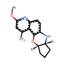 CC(C)Oc1cc(C(F)(F)F)c2c3c(ccc2n1)N[C@@H]1CCC[C@@H]1O3